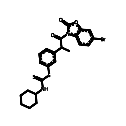 CC(C(=O)n1c(=O)oc2cc(Br)ccc21)c1cccc(SC(=S)NC2CCCCC2)c1